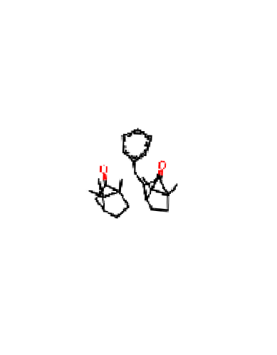 CC12CCC(C(Cc3ccccc3)C1=O)C2(C)C.CC12CCC(CC1=O)C2(C)C